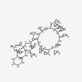 CC[C@@H]1OC(=O)[C@H](C)[C@H](OC2C[C@@](C)(OC)[C@](O)(CN3CCCCC3)[C@H](C)O2)[C@@H](C)C[C@](C)(O)C[C@@H](C)NC[C@@H](C)[C@H](O)[C@]1(C)O